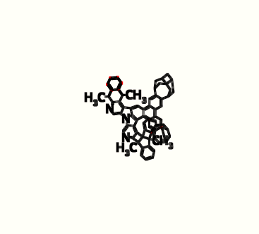 CC12c3ccccc3C(C)(c3ccccc31)c1c2ncc2c1c1cc3c4cc5c(cc4c4cc6c(cc4c3c3c4c7c(ncc4n2c13)C1(C)c2ccccc2C2(C)c3ccccc3C721)C1CC2CC(CC6C2)C1)C1CC2CC3CC5CC23C1